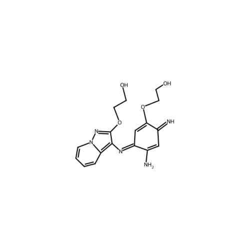 N=C1C=C(N)C(=Nc2c(OCCO)nn3ccccc23)C=C1OCCO